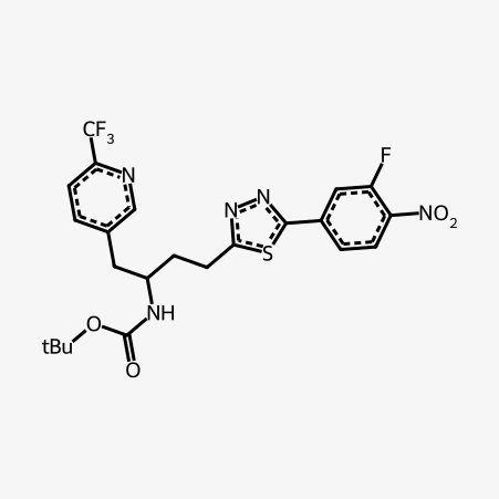 CC(C)(C)OC(=O)NC(CCc1nnc(-c2ccc([N+](=O)[O-])c(F)c2)s1)Cc1ccc(C(F)(F)F)nc1